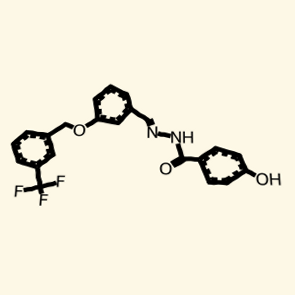 O=C(N/N=C/c1cccc(OCc2cccc(C(F)(F)F)c2)c1)c1ccc(O)cc1